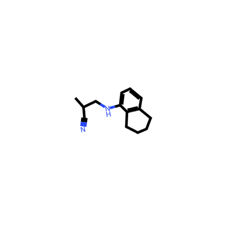 CC(C#N)CNc1cccc2c1CCCC2